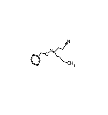 CCCC/C(CCC#N)=N\OCc1ccccc1